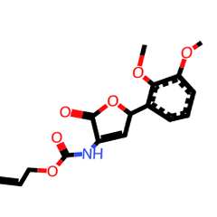 C=CCOC(=O)NC1=CC(c2cccc(OC)c2OC)OC1=O